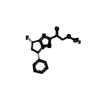 O=C(COC(F)(F)F)c1nc2n(n1)[C@H](c1ccccc1)C[C@@H]2F